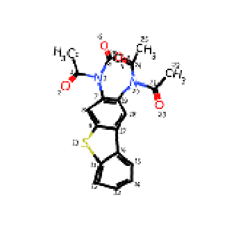 CC(=O)N(C(C)=O)c1cc2sc3ccccc3c2cc1N(C(C)=O)C(C)=O